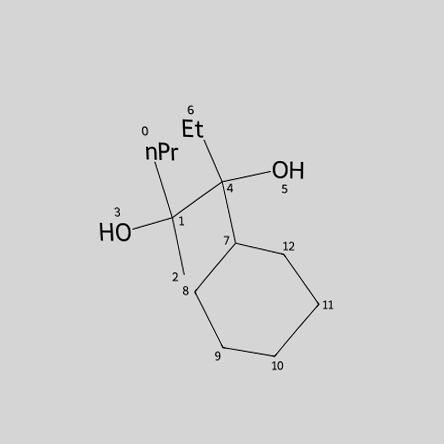 CCCC(C)(O)C(O)(CC)C1CCCCC1